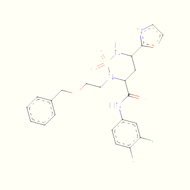 O=C(Nc1ccc(F)c(Cl)c1)C1CC(c2nccs2)NS(=O)(=O)N1CCOCc1ccccc1